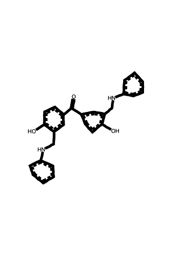 O=C(c1ccc(O)c(CNc2ccccc2)c1)c1ccc(O)c(CNc2ccccc2)c1